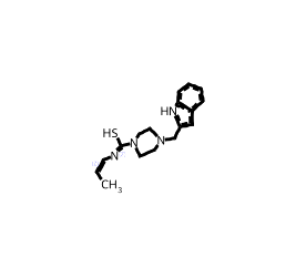 C/C=C\N=C(/S)N1CCN(Cc2cc3ccccc3[nH]2)CC1